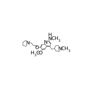 CNc1cc(CC2CCN(C)CC2)c2cc(OC)c(OCCCN3CCCC3)cc2n1